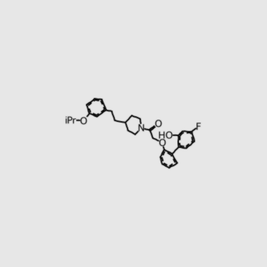 CC(C)Oc1cccc(CCC2CCN(C(=O)COc3ccccc3-c3ccc(F)cc3O)CC2)c1